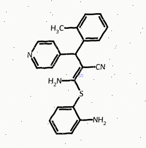 Cc1ccccc1C(/C(C#N)=C(\N)Sc1ccccc1N)c1ccncc1